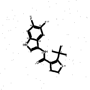 CC(C)(C)C1=C(C(=O)Nc2c[nH]c3cc(F)c(F)cc23)CCS1